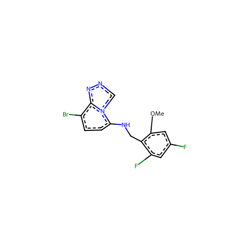 COc1cc(F)cc(F)c1CNc1ccc(Br)c2nncn12